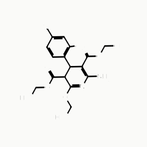 CCOC(=O)C1=C(N)N=C(OCC)C(C(=O)OCC)C1c1ccc(Cl)cc1Cl